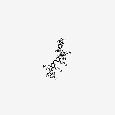 CC(=O)C(C=O)N=Nc1c(C)cc(Cc2cc(C)c(Nc3nc(O)nc(Nc4ccc(S(=O)(=O)O)cc4)n3)c(C)c2)cc1C